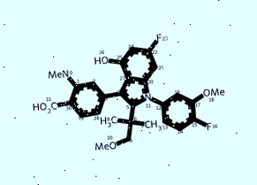 CNc1cc(-c2c(C(C)(C)COC)n(-c3ccc(F)c(OC)c3)c3cc(F)cc(O)c23)ccc1C(=O)O